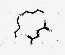 CCC[CH2][Sn+2][CH2]CCC.O=C([O-])C=CC(=O)[O-]